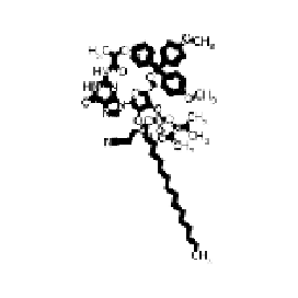 CCCCCCCCCCCCCCCCO[C@@H]1[C@H](OP(=O)(OOCCC#N)ON(C(C)C)C(C)C)[C@@H](COC(c2ccccc2)(c2ccc(OC)cc2)c2ccc(OC)cc2)O[C@H]1n1cnc2c(=O)[nH]c(NC(=O)C(C)C)nc21